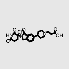 CC1(N2Cc3ccc(C4CCN(CCC(=O)O)CC4)cc3C2=O)CCC(=O)NC1=O